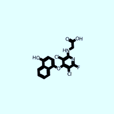 O=C(O)CNc1nc(F)c(Cl)c(Oc2ccc(O)c3ccccc23)c1Cl